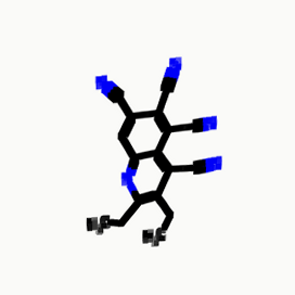 CCc1nc2cc(C#N)c(C#N)c(C#N)c2c(C#N)c1CC